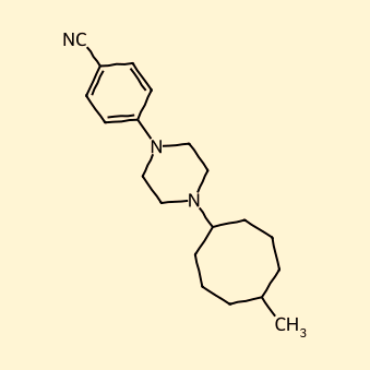 CC1CCCC(N2CCN(c3ccc(C#N)cc3)CC2)CCC1